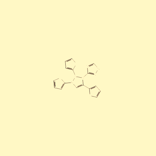 [c]1nc(N2C(c3cccs3)=CN(c3cccs3)N2c2cccs2)n[nH]1